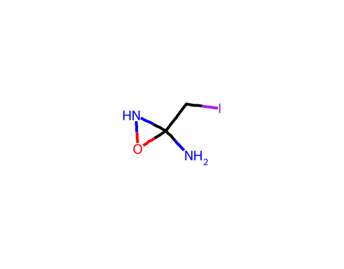 NC1(CI)NO1